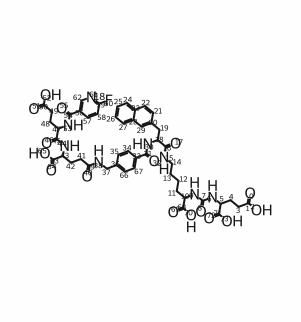 O=C(O)CCC(NC(=O)NC(CCCCNC(=O)C(Cc1ccc2ccccc2c1)NC(=O)c1ccc(CNC(=O)CCC(NC(=O)C(CCC(=O)O)NC(=O)c2ccc([18F])nc2)C(=O)O)cc1)C(=O)O)C(=O)O